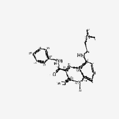 CN(C)CCNc1cccc2c1cc(C(=O)Nc1ccccc1)c(=O)n2C